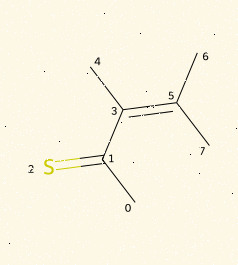 CC(=S)C(C)=C(C)C